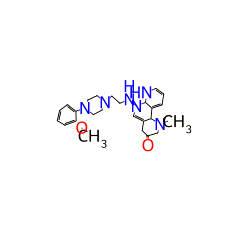 COc1ccccc1N1CCN(CCNN2C=C3CC(=O)CN(C)C3C3=CC=CNC32)CC1